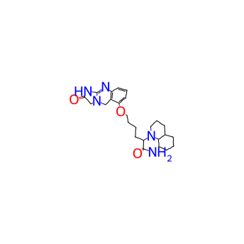 NC(=O)C(CCCCOc1cccc2c1CN1CC(=O)NC1=N2)N1CCCC2CCCCC21